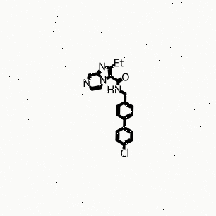 CCc1nc2cnccn2c1C(=O)NCc1ccc(-c2ccc(Cl)cc2)cc1